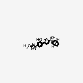 Cc1nnn(-c2ccc(-c3ccc(N(C)[C@H]4C[C@H]5CC[C@@H](C4)N5)nn3)c(O)c2)n1